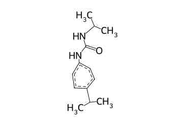 CC(C)NC(=O)Nc1ccc(C(C)C)cc1